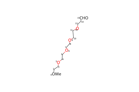 COCCOCCOCCOCCOCCC=O